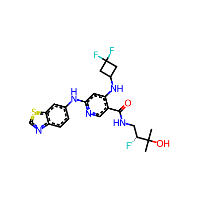 CC(C)(O)[C@H](F)CNC(=O)c1cnc(Nc2ccc3ncsc3c2)cc1NC1CC(F)(F)C1